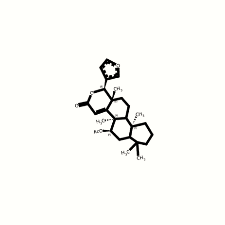 CC(=O)O[C@@H]1CC2C(C)(C)CCC[C@]2(C)C2CC[C@]3(C)C(=CC(=O)O[C@H]3c3ccoc3)[C@@]21C